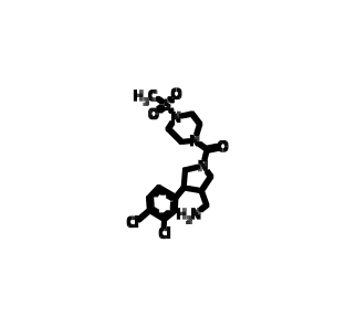 CS(=O)(=O)N1CCN(C(=O)N2CC(CN)C(c3ccc(Cl)c(Cl)c3)C2)CC1